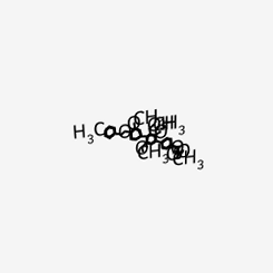 COc1cc(-c2c(OC)cc(-c3ccc(OS(C)(=O)=O)cc3)c(OC)c2CO)ccc1OCc1ccc(C)cc1